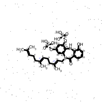 CC(C)=CCC/C(C)=C/CC/C(C)=C/CN1C(=O)c2cccc(O)c2Nc2c(OP(=O)(O)O)cc(OP(=O)(O)O)cc21